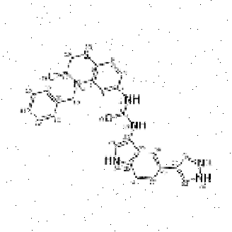 O=C(Nc1ccc2c(c1)N(Cc1ccccc1)C(=O)CS2)Nc1c[nH]c2ccc(-c3cn[nH]c3)cc12